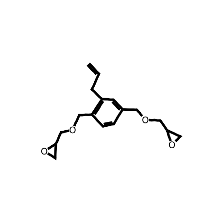 C=CCc1cc(COCC2CO2)ccc1COCC1CO1